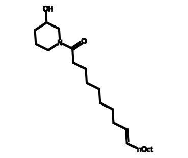 CCCCCCCCC=CCCCCCCCC(=O)N1CCCC(O)C1